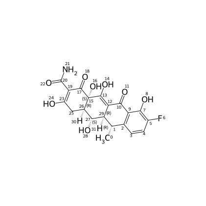 C[C@H]1c2ccc(F)c(O)c2C(=O)C2=C(O)[C@]3(O)C(=O)C(C(N)=O)=C(O)C[C@@H]3[C@@H](O)[C@@H]21